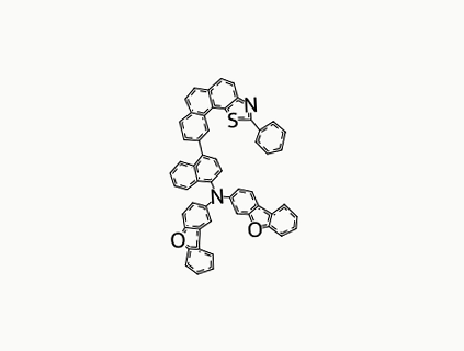 c1ccc(-c2nc3ccc4ccc5ccc(-c6ccc(N(c7ccc8c(c7)oc7ccccc78)c7ccc8oc9ccccc9c8c7)c7ccccc67)cc5c4c3s2)cc1